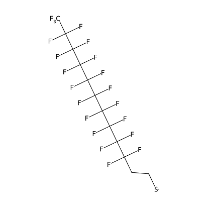 FC(F)(F)C(F)(F)C(F)(F)C(F)(F)C(F)(F)C(F)(F)C(F)(F)C(F)(F)C(F)(F)C(F)(F)CC[S]